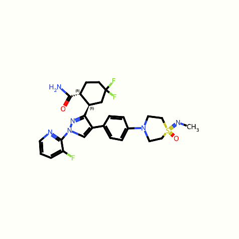 CN=S1(=O)CCN(c2ccc(-c3cn(-c4ncccc4F)nc3[C@@H]3CC(F)(F)CC[C@H]3C(N)=O)cc2)CC1